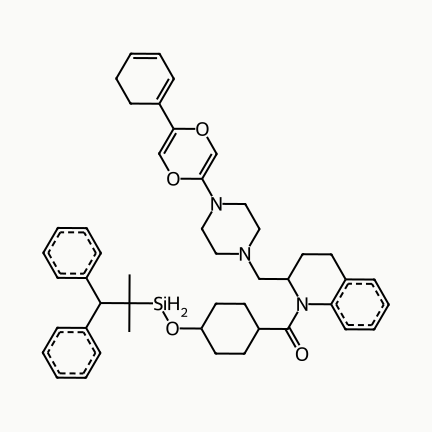 CC(C)([SiH2]OC1CCC(C(=O)N2c3ccccc3CCC2CN2CCN(C3=COC(C4=CC=CCC4)=CO3)CC2)CC1)C(c1ccccc1)c1ccccc1